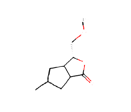 CC1CC2C(=O)O[C@@H](COC(C)C)C2C1